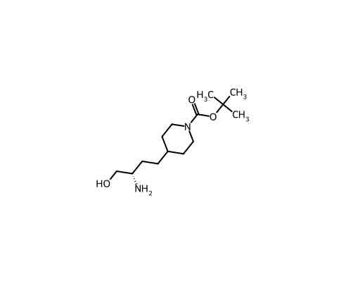 CC(C)(C)OC(=O)N1CCC(CC[C@H](N)CO)CC1